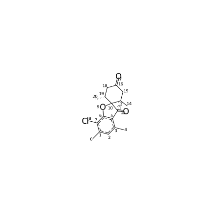 Cc1cc(C)c2c(c1Cl)OC1(C2=O)C(C)CC(=O)C[C@H]1C